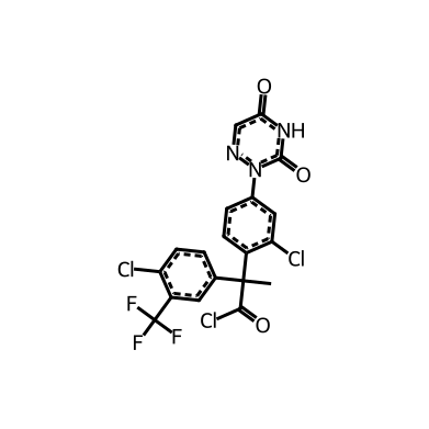 CC(C(=O)Cl)(c1ccc(Cl)c(C(F)(F)F)c1)c1ccc(-n2ncc(=O)[nH]c2=O)cc1Cl